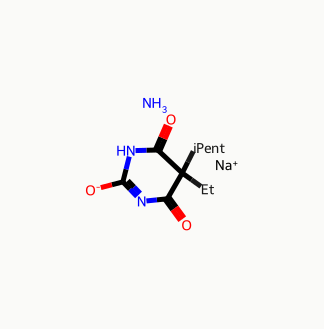 CCCC(C)C1(CC)C(=O)N=C([O-])NC1=O.N.[Na+]